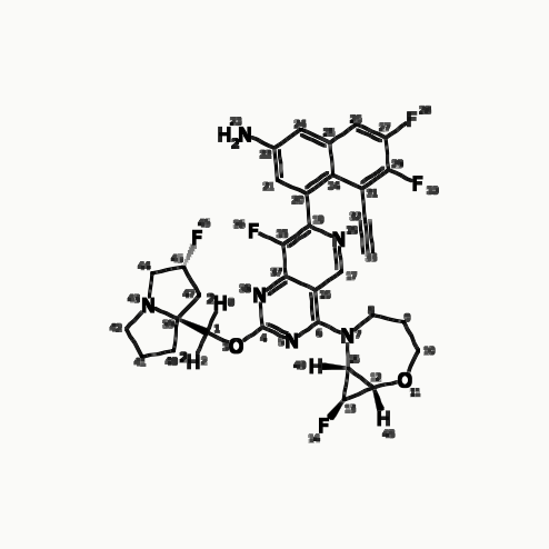 [2H]C([2H])(Oc1nc(N2CCCO[C@@H]3[C@@H](F)[C@@H]32)c2cnc(-c3cc(N)cc4cc(F)c(F)c(C#C)c34)c(F)c2n1)[C@@]12CCCN1C[C@H](F)C2